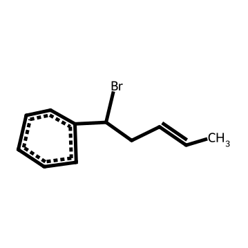 C/C=C/CC(Br)c1ccccc1